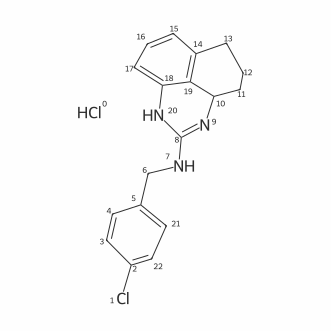 Cl.Clc1ccc(CNC2=NC3CCCc4cccc(c43)N2)cc1